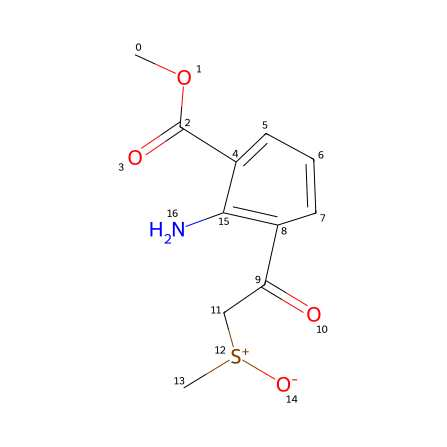 COC(=O)c1cccc(C(=O)C[S+](C)[O-])c1N